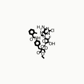 CCOC(=O)C(Cc1ccc(NC(=O)c2ccccc2C)cc1)(OC[C@H]1O[C@@H](n2cnc3c(N)nc(Cl)nc32)[C@@H](F)[C@@H]1O)C(C)=O